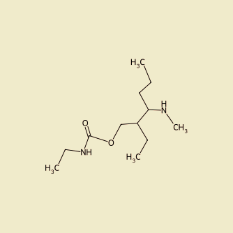 CCCC(NC)C(CC)COC(=O)NCC